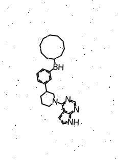 B(c1cccc(C2CCCN(c3ncnc4[nH]ccc34)C2)c1)C1CCCCCCCCC1